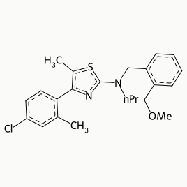 CCCN(Cc1ccccc1COC)c1nc(-c2ccc(Cl)cc2C)c(C)s1